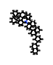 c1ccc(-c2ccc(-c3ccccc3N(c3ccc(-c4ccc(-c5cccc(-c6ccc7ccccc7c6)c5)cc4)cc3)c3cccc4c3-c3ccccc3C4(c3ccccc3)c3ccccc3)cc2)cc1